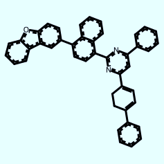 C1=C(c2ccccc2)CCC(c2cc(-c3ccccc3)nc(-c3ccc(-c4ccc5oc6ccccc6c5c4)c4ccccc34)n2)=C1